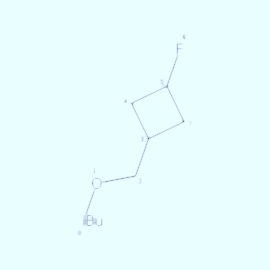 CCC(C)OCC1CC(F)C1